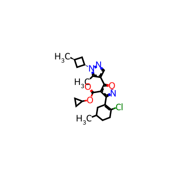 Cc1c(-c2onc(C3=C(Cl)CCC(C)C3)c2C(=O)OC2CC2)cnn1[C@H]1C[C@H](C)C1